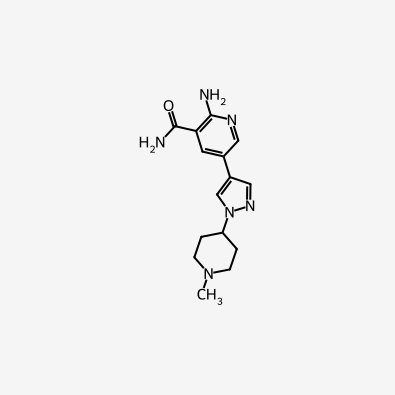 CN1CCC(n2cc(-c3cnc(N)c(C(N)=O)c3)cn2)CC1